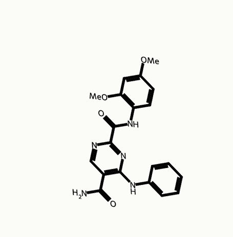 COc1ccc(NC(=O)c2ncc(C(N)=O)c(Nc3ccccc3)n2)c(OC)c1